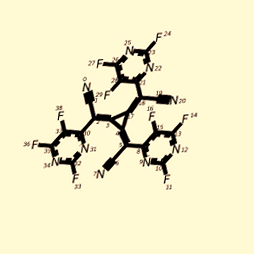 N#CC(=C1C(=C(C#N)c2nc(F)nc(F)c2F)C1=C(C#N)c1nc(F)nc(F)c1F)c1nc(F)nc(F)c1F